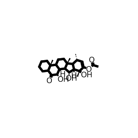 CC(=O)OC1=C[C@@H](C)C2[C@@H]([C@H](O)C3[C@H]4C(CC[C@@]32C)[C@@]2(C)CCCCC2C(=O)[C@@H]4O)[C@@]1(C)O